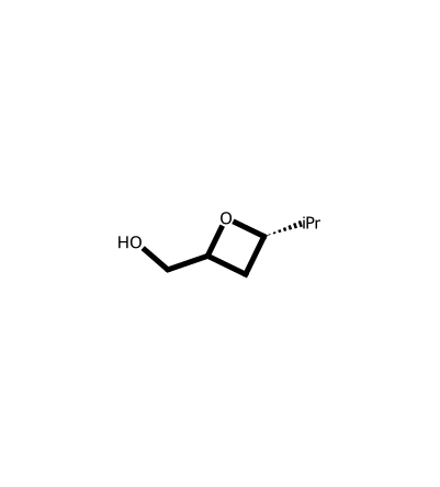 CC(C)[C@@H]1CC(CO)O1